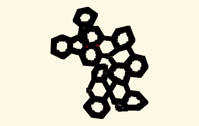 c1ccc(-c2cccc(-c3ccccc3)c2N(c2ccc3c(c2)C2(c4ccccc4Oc4ccccc42)c2cccc4cccc-3c24)c2ccc3c4ccccc4n(-c4ccccc4)c3c2)cc1